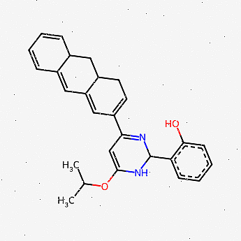 CC(C)OC1=CC(C2=CCC3CC4C=CC=CC4=CC3=C2)=NC(c2ccccc2O)N1